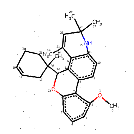 COc1cccc2c1-c1ccc3c(c1C(C1(C)CC=CCC1)O2)C(C)=CC(C)(C)N3